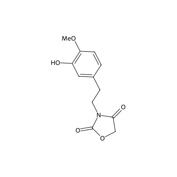 COc1ccc(CCN2C(=O)COC2=O)cc1O